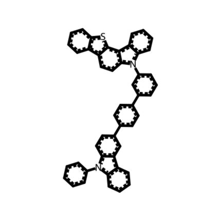 c1ccc(-n2c3ccccc3c3cc(-c4ccc(-c5cccc(-n6c7ccccc7c7c8sc9ccccc9c8ccc76)c5)cc4)ccc32)cc1